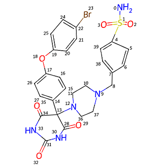 NS(=O)(=O)c1ccc(CN2CCN(C3(c4ccc(Oc5ccc(Br)cc5)cc4)C(=O)NC(=O)NC3=O)CC2)cc1